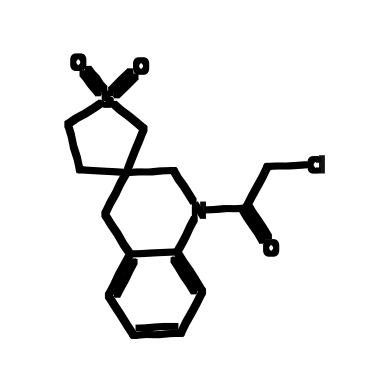 O=C(CCl)N1CC2(CCS(=O)(=O)C2)Cc2ccccc21